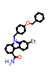 CCc1c[c]c2c3c(C(N)=O)cccc3n(Cc3ccc(OCc4ccccc4)cc3)c2c1